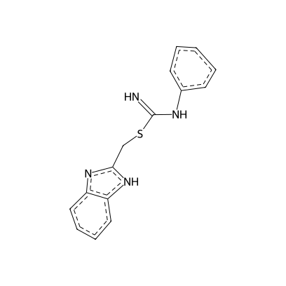 N=C(Nc1ccccc1)SCc1nc2ccccc2[nH]1